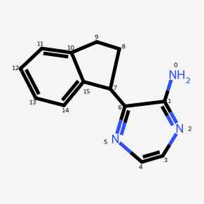 Nc1nccnc1C1CCc2ccccc21